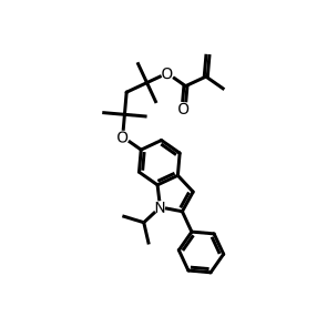 C=C(C)C(=O)OC(C)(C)CC(C)(C)Oc1ccc2cc(-c3ccccc3)n(C(C)C)c2c1